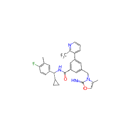 Cc1cc(C(NC(=O)c2cc(Cn3c(C)coc3=N)cc(-c3cccnc3C(F)(F)F)c2)C2CC2)ccc1F